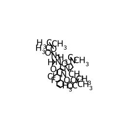 C[C@H]1C[C@H](N(C)C)CN1c1nc(-c2c(F)cccc2OC(=O)OC(C)(C)C)c(Cl)c2c1C(=O)N1CCN(C(=O)OC(C)(C)C)C[C@@H]1CO2